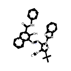 [C-]#[N+]c1c(C(C)(C)C)nn(-c2nc3ccccc3s2)c1/N=N/c1c(O)c(C(=O)Nc2ccccc2)cc2ccccc12